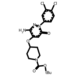 CC(C)(C)OC(=O)N1CCC(Oc2cc(=O)n(-c3ccc(Cl)c(Cl)c3)nc2N)CC1